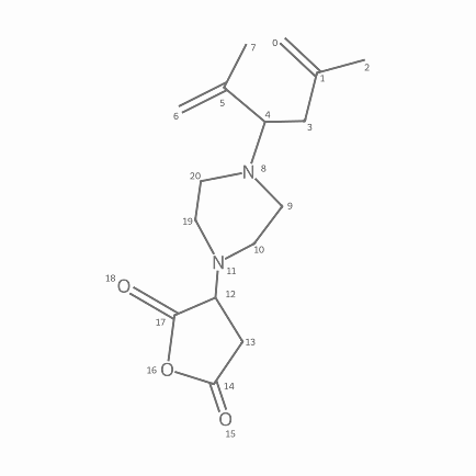 C=C(C)CC(C(=C)C)N1CCN(C2CC(=O)OC2=O)CC1